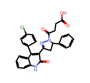 O=C(O)CCC(=O)N1N=C(c2c(-c3ccc(Cl)cc3)c3ccccc3[nH]c2=O)CC1c1ccccc1